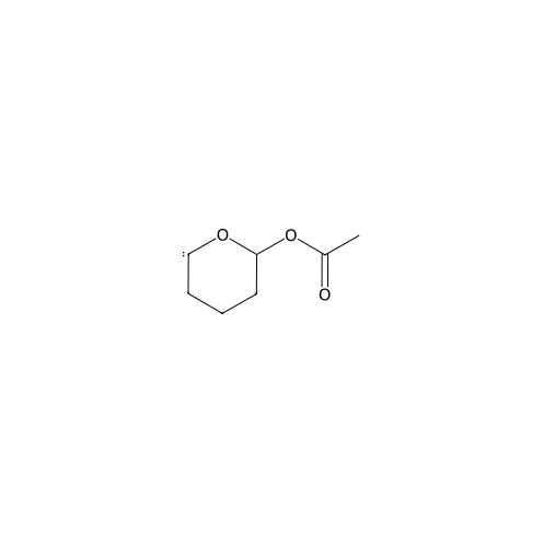 CC(=O)OC1CCC[C]O1